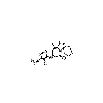 Nc1ncnc(NC2=CC(Cl)=C3C(=O)NC4(CCCCC4)N3C(=O)C2)c1Cl